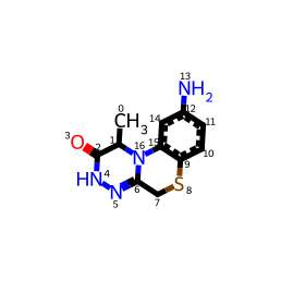 CC1C(=O)NN=C2CSc3ccc(N)cc3N21